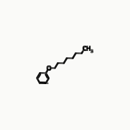 CCCCCCCCOc1c[c]ccc1